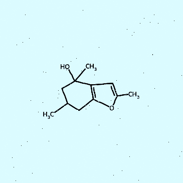 Cc1cc2c(o1)CC(C)CC2(C)O